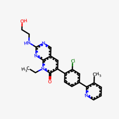 CCn1c(=O)c(-c2ccc(-c3ncccc3C)cc2Cl)cc2cnc(NCCO)nc21